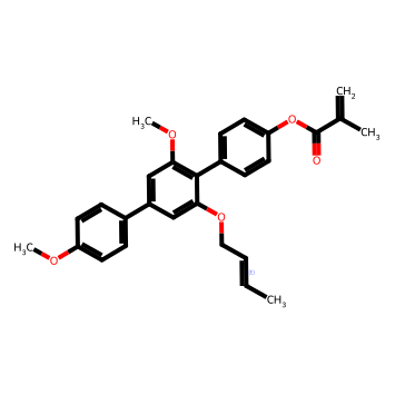 C=C(C)C(=O)Oc1ccc(-c2c(OC)cc(-c3ccc(OC)cc3)cc2OC/C=C/C)cc1